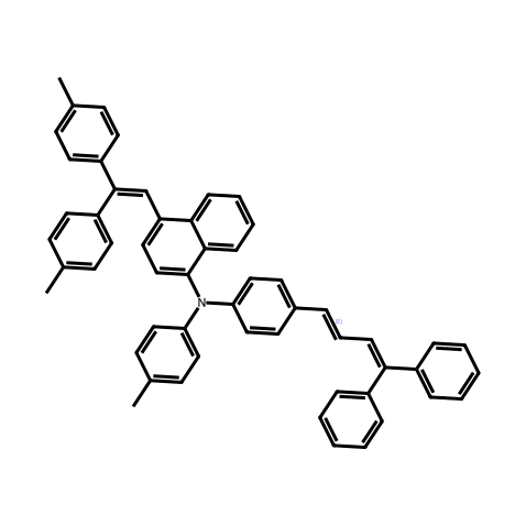 Cc1ccc(C(=Cc2ccc(N(c3ccc(C)cc3)c3ccc(/C=C/C=C(c4ccccc4)c4ccccc4)cc3)c3ccccc23)c2ccc(C)cc2)cc1